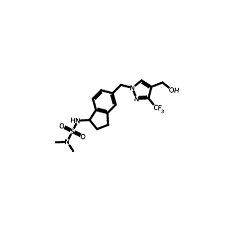 CN(C)S(=O)(=O)NC1CCc2cc(Cn3cc(CO)c(C(F)(F)F)n3)ccc21